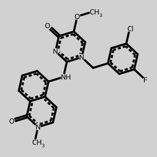 COc1cn(Cc2cc(F)cc(Cl)c2)c(Nc2cccc3c(=O)n(C)ccc23)nc1=O